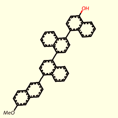 COc1ccc2cc(-c3ccc(-c4ccc(-c5ccc(O)c6ccccc56)c5ccccc45)c4ccccc34)ccc2c1